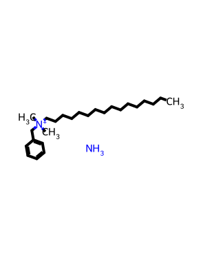 CCCCCCCCCCCCCCCC[N+](C)(C)Cc1ccccc1.N